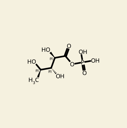 C[C@@H](O)[C@@H](O)[C@@H](O)C(=O)OP(=O)(O)O